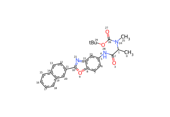 CC(C(=O)Nc1ccc2oc(-c3ccc4ccccc4c3)nc2c1)N(C)C(=O)OC(C)(C)C